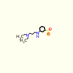 CCN(CC)CCCNc1cccc([SH](=O)=O)c1